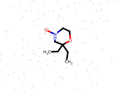 CCC1(CC)C[NH+]([O-])CCO1